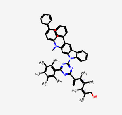 B/C(CO)=C(B)/C(B)=C(/B)C(=C)c1nc(-c2c(B)c(B)c(B)c(B)c2B)nc(-n2c3ccccc3c3cc(-c4ccccc4)c(N(C)c4ccc(C5C=CC=CC5)cc4)cc32)n1